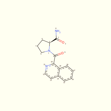 NC(=O)[C@@H]1CCCN1C(=O)c1nccc2ccccc12